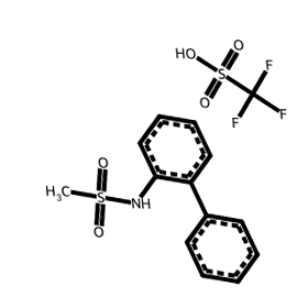 CS(=O)(=O)Nc1ccccc1-c1ccccc1.O=S(=O)(O)C(F)(F)F